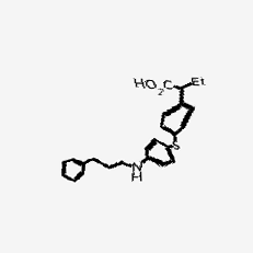 CCC(C(=O)O)c1ccc(Sc2ccc(NCCCc3ccccc3)cc2)cc1